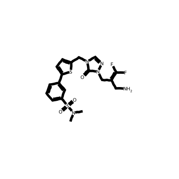 CN(C)S(=O)(=O)c1cccc(-c2ccc(Cn3cnn(CC(CN)=C(F)F)c3=O)s2)c1